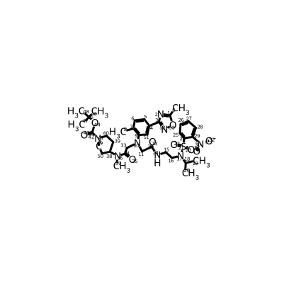 Cc1nc(-c2ccc(C)c(N(CC(=O)NCCN(C(C)C)S(=O)(=O)c3ccccc3[N+](=O)[O-])CC(=O)N(C)C3CCN(C(=O)OC(C)(C)C)CC3)c2)no1